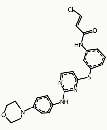 O=C(/C=C/Cl)Nc1cccc(Sc2ccnc(Nc3ccc(N4CCOCC4)cc3)n2)c1